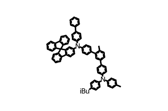 CCC(C)c1ccc(N(c2ccc(C)cc2)c2ccc(-c3ccc(C)c(-c4ccc(N(c5ccc(-c6ccccc6)cc5)c5ccc6c(c5)C5(c7ccccc7-c7ccccc75)c5ccccc5-6)cc4)c3)cc2)cc1